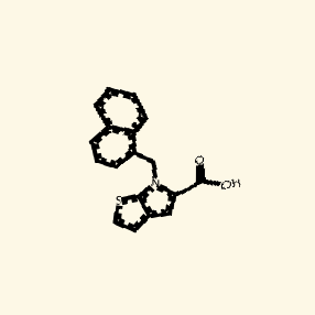 O=C(O)c1cc2ccsc2n1Cc1cccc2ccccc12